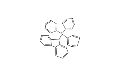 c1ccc([Si]([C]2c3ccccc3-c3ccccc32)(c2ccccc2)c2ccccc2)cc1